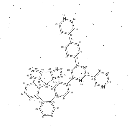 c1cncc(-c2nc(-c3ccc(-c4ccncc4)cc3)cc(-c3ccc4c(c3)C3(c5ccccc5-c5ccccc5-4)c4ccccc4-c4ccccc43)n2)c1